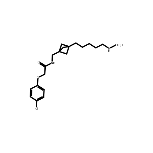 O=C(O)NCCCCCC12CC(CNC(=O)COc3ccc(Cl)cc3)(C1)C2